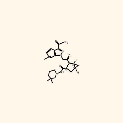 Cc1ccc2c(C(N)=O)nn(CC(=O)N3[C@@H]4C[C@@H]4C[C@H]3C(=O)NN3CCCC(C)(C)C3)c2c1